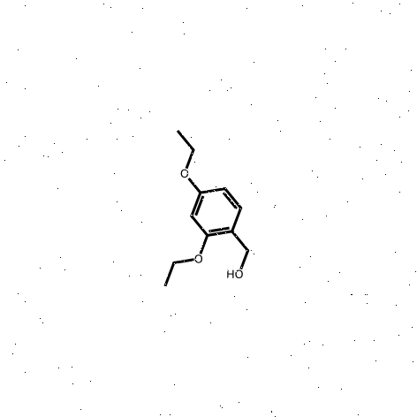 CCOc1ccc([CH]O)c(OCC)c1